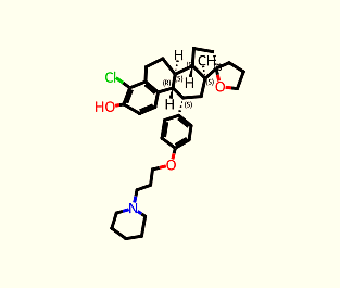 C[C@]12C[C@H](c3ccc(OCCCN4CCCCC4)cc3)[C@@H]3c4ccc(O)c(Cl)c4CC[C@H]3[C@@H]1CC[C@@]21CCCO1